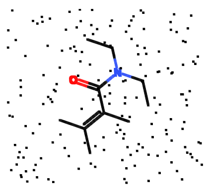 CCN(CC)C(=O)C(C)=C(C)C